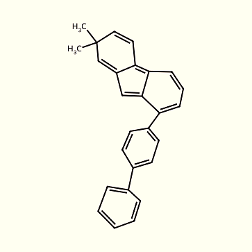 CC1(C)C=CC2=c3cccc(-c4ccc(-c5ccccc5)cc4)c3=CC2=C1